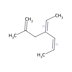 C=C(C)CC(/C=C\C)=C/C